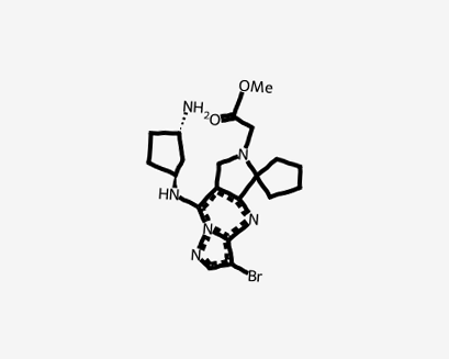 COC(=O)CN1Cc2c(nc3c(Br)cnn3c2N[C@H]2CC[C@H](N)C2)C12CCCC2